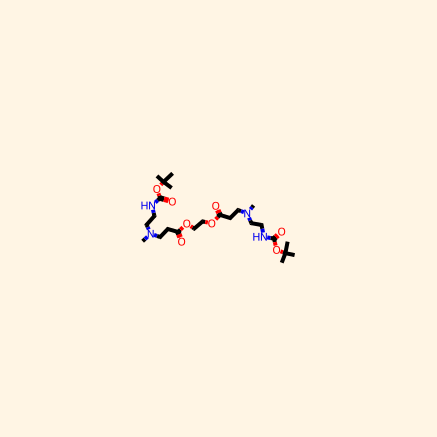 CN(CCNC(=O)OC(C)(C)C)CCC(=O)OCCOC(=O)CCN(C)CCNC(=O)OC(C)(C)C